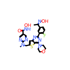 C/C(=N/O)c1ccc(F)c(-c2nc(N3CCOCC3)c3sc(CN(C)c4ncc(C(=O)NO)cn4)cc3n2)c1